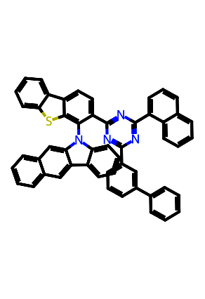 c1ccc(-c2cccc(-c3nc(-c4ccc5c(sc6ccccc65)c4-n4c5ccccc5c5cc6ccccc6cc54)nc(-c4cccc5ccccc45)n3)c2)cc1